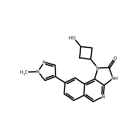 Cn1cc(-c2ccc3cnc4[nH]c(=O)n(C5CC(O)C5)c4c3c2)cn1